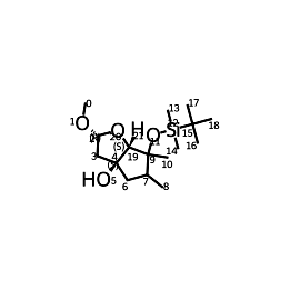 CO[C@H]1C[C@@]2(O)CC(C)C(C)(O[Si](C)(C)C(C)(C)C)[C@H]2O1